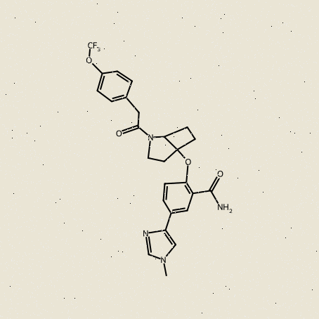 Cn1cnc(-c2ccc(OC34CCC3N(C(=O)Cc3ccc(OC(F)(F)F)cc3)CC4)c(C(N)=O)c2)c1